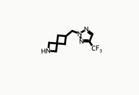 FC(F)(F)c1cnn(CC2CC3(CNC3)C2)n1